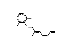 C=C/C=C\C=C(/C)COc1c(N)ncnc1Cl